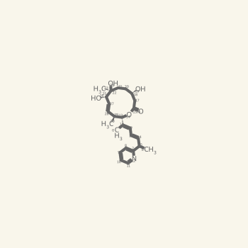 C/C(=C\C=C\C(C)c1ccccn1)[C@H]1OC(=O)C[C@@H](O)CC[C@](C)(O)[C@@H](O)/C=C/[C@@H]1C